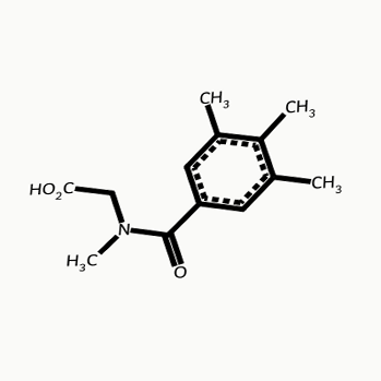 Cc1cc(C(=O)N(C)CC(=O)O)cc(C)c1C